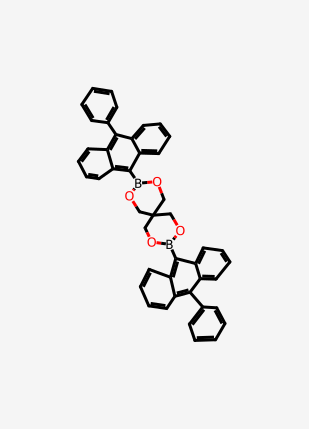 c1ccc(-c2c3ccccc3c(B3OCC4(CO3)COB(c3c5ccccc5c(-c5ccccc5)c5ccccc35)OC4)c3ccccc23)cc1